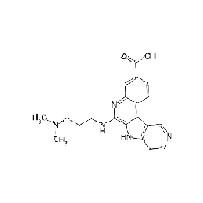 CN(C)CCCNc1nc2cc(C(=O)O)ccc2c2c1[nH]c1ccncc12